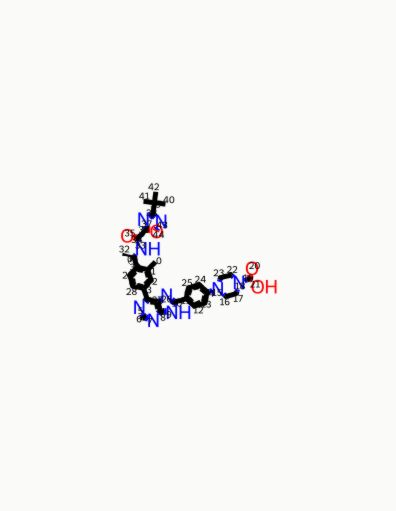 Cc1cc(-c2ncnc3[nH]c(-c4ccc(N5CCN(C(=O)O)CC5)cc4)nc23)ccc1[C@@H](C)NC(=O)c1nc(C(C)(C)C)no1